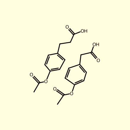 CC(=O)Oc1ccc(CC(=O)O)cc1.CC(=O)Oc1ccc(CCC(=O)O)cc1